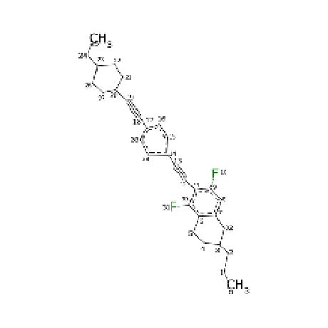 CCCC1CCc2c(cc(F)c(C#Cc3ccc(C#CC4CCC(CC)CC4)cc3)c2F)C1